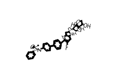 CS(=O)(=Nc1ccc(-c2ccc(-c3nc4cc(O[C@@H]5CO[C@H]6[C@@H]5OC[C@H]6O)[nH]c4cc3F)cc2)cc1)c1ccccc1